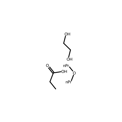 CCC(=O)O.CCCOCCC.OCCO